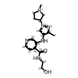 Cc1nn(C2CCN(C)C2)cc1Nc1cnccc1C(=O)NCCO